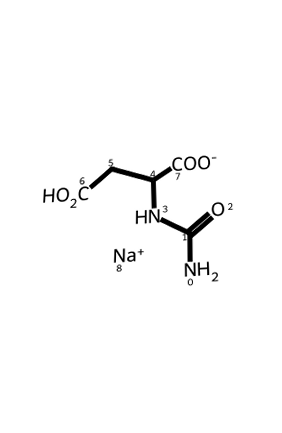 NC(=O)NC(CC(=O)O)C(=O)[O-].[Na+]